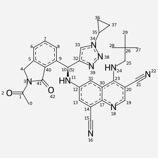 CC(=O)N1Cc2cccc([C@H](Nc3cc(C#N)c4ncc(C#N)c(NCC(C)(C)C)c4c3)c3cn(C4CC4)nn3)c2C1=O